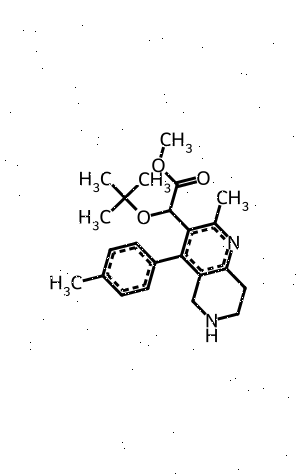 COC(=O)C(OC(C)(C)C)c1c(C)nc2c(c1-c1ccc(C)cc1)CNCC2